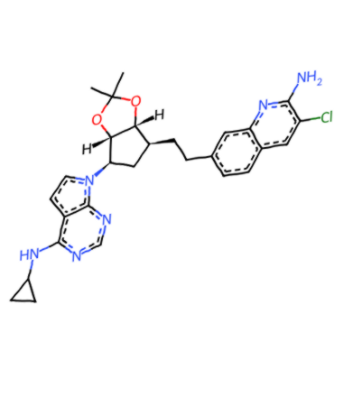 CC1(C)O[C@@H]2[C@@H](CCc3ccc4cc(Cl)c(N)nc4c3)C[C@@H](n3ccc4c(NC5CC5)ncnc43)[C@@H]2O1